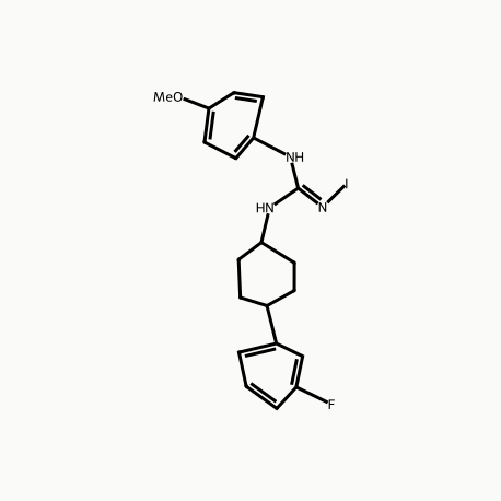 COc1ccc(N/C(=N\I)NC2CCC(c3cccc(F)c3)CC2)cc1